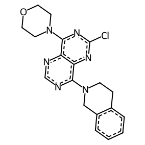 Clc1nc(N2CCOCC2)c2ncnc(N3CCc4ccccc4C3)c2n1